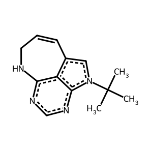 CC(C)(C)n1cc2c3c(ncnc31)NCC=C2